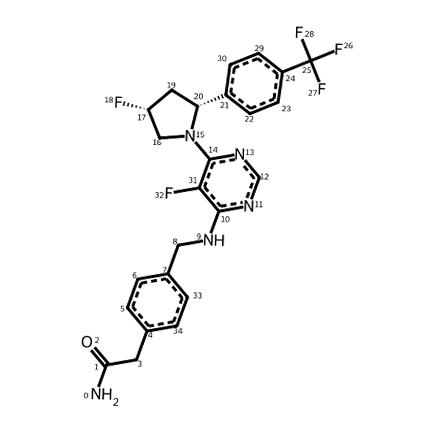 NC(=O)Cc1ccc(CNc2ncnc(N3C[C@H](F)C[C@@H]3c3ccc(C(F)(F)F)cc3)c2F)cc1